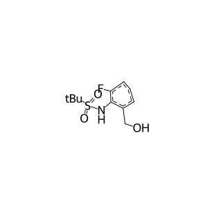 CC(C)(C)S(=O)(=O)Nc1c(F)cccc1CO